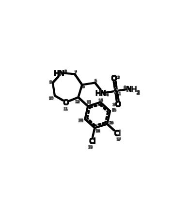 NS(=O)(=O)NCC1CNCCOC1c1ccc(Cl)c(Cl)c1